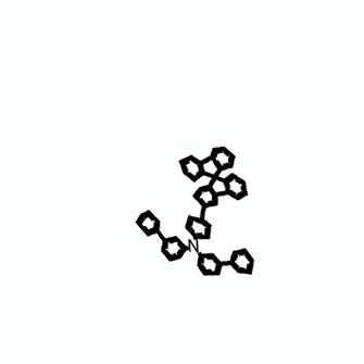 c1ccc(-c2cccc(N(c3ccc(-c4ccc5c(c4)-c4ccccc4C54c5ccccc5-c5ccccc54)cc3)c3cccc(-c4ccccc4)c3)c2)cc1